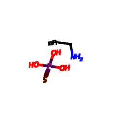 CCCCN.OP(O)(O)=S